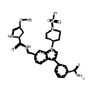 CCCOC1CNC(C(=O)NCc2ccc3c(-c4cccc(C(N)=S)c4)cn(C4CCN(S(=O)(=O)C(C)C)CC4)c3c2)C1